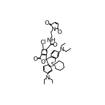 CCN(CC)c1ccc2c(c1)[Si]1(CCCCC1)c1cc(N(CC)CC)ccc1C21OC(=O)c2cc(Cl)c(C(=O)NCCN3C(=O)C=CC3=O)cc21